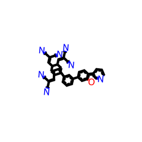 N#CC(C#N)=CC1C(C=C(C#N)C#N)C2CCC1C(C=C(C#N)C#N)C2c1cccc(-c2ccc3c(c2)oc2ncccc23)c1